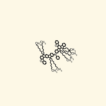 CCCCCCCCC1(CCCCCCCC)c2cc(N(c3ccccc3)c3ccc4c(c3)C(CCCCCCC)(CCCCCCC)c3c5c(c6c(oc7ccccc76)c3-4)-c3ccccc3C5(CCCCCCC)CCCCCCC)ccc2-c2cc3c(cc21)-c1c(ccc2oc4ccccc4c12)C3(CCCCCCCC)CCCCCCCC